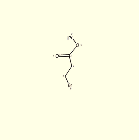 CC(C)OC(=O)CCBr